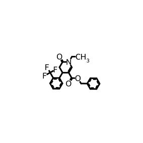 CCN1C=C(C(=O)OCc2ccccc2)C(c2ccccc2C(F)(F)F)CC1=O